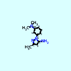 Cc1cc(N)n(-c2cccc(N(C)C)c2)n1